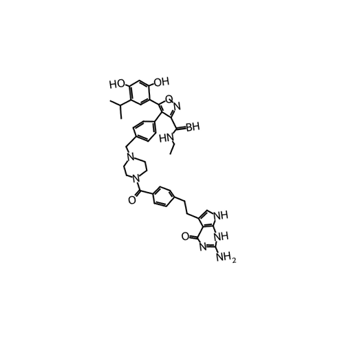 B=C(NCC)c1noc(-c2cc(C(C)C)c(O)cc2O)c1-c1ccc(CN2CCN(C(=O)c3ccc(CCc4c[nH]c5[nH]c(N)nc(=O)c45)cc3)CC2)cc1